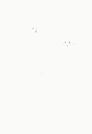 COC(=N)c1ccc(Cl)s1